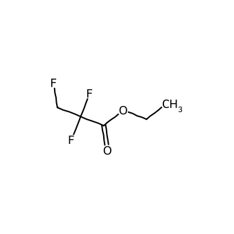 CCOC(=O)C(F)(F)CF